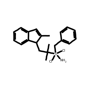 CC1=Cc2ccccc2C1C[C](C)(C)[Ti]([NH2])([Cl])([Cl])[CH2]c1ccccc1